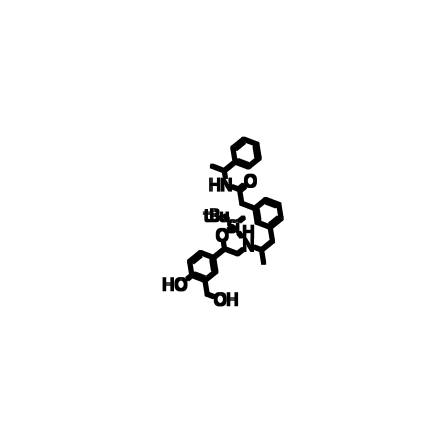 CC(Cc1cccc(CC(=O)NC(C)c2ccccc2)c1)NCC(O[Si](C)(C)C(C)(C)C)c1ccc(O)c(CO)c1